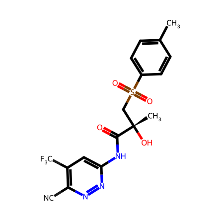 Cc1ccc(S(=O)(=O)C[C@](C)(O)C(=O)Nc2cc(C(F)(F)F)c(C#N)nn2)cc1